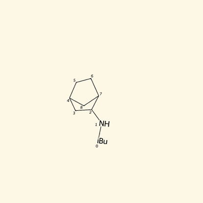 CCC(C)NC1CC2CCC1C2